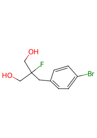 OCC(F)(CO)Cc1ccc(Br)cc1